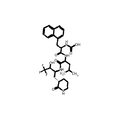 CC(C)CC(NC(=O)C(Cc1cccc2ccccc12)NC(=O)O)C(=O)NC(C[C@@H]1CCCNC1=O)C(O)C(F)(F)F